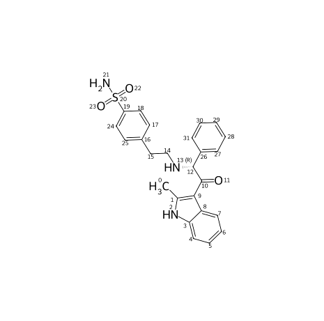 Cc1[nH]c2ccccc2c1C(=O)[C@H](NCCc1ccc(S(N)(=O)=O)cc1)c1ccccc1